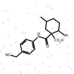 CC1CCC(C(C)C)C(C(=O)O)(C(=O)Nc2ccc(CC#N)cc2)C1